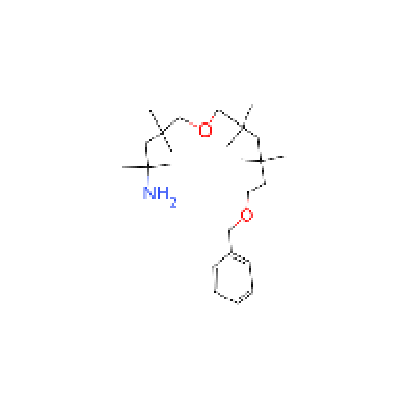 CC(C)(N)CC(C)(C)COCC(C)(C)CC(C)(C)CCOCc1ccccc1